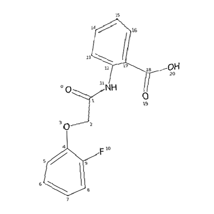 O=C(COc1ccccc1F)Nc1ccccc1C(=O)O